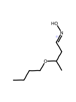 CCCCOC(C)C/C=N/O